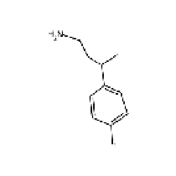 [CH2]c1ccc(C(C)CCN)cc1